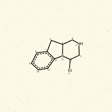 CCC1CNCC2Cc3ccccc3N12